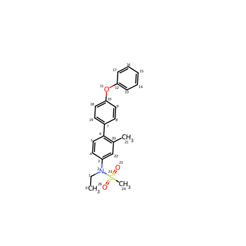 CCN(c1ccc(-c2ccc(Oc3ccccc3)cc2)c(C)c1)S(C)(=O)=O